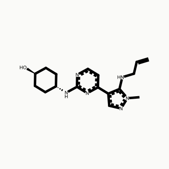 C=CCNc1c(-c2ccnc(N[C@H]3CC[C@H](O)CC3)n2)cnn1C